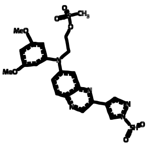 COc1cc(OC)cc(N(CCOS(C)(=O)=O)c2ccc3ncc(-c4cnn([SH](=O)=O)c4)nc3c2)c1